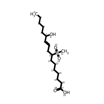 CCCCCC(O)C=CCC(CCCCCCC(=O)O)S(C)(=O)=O